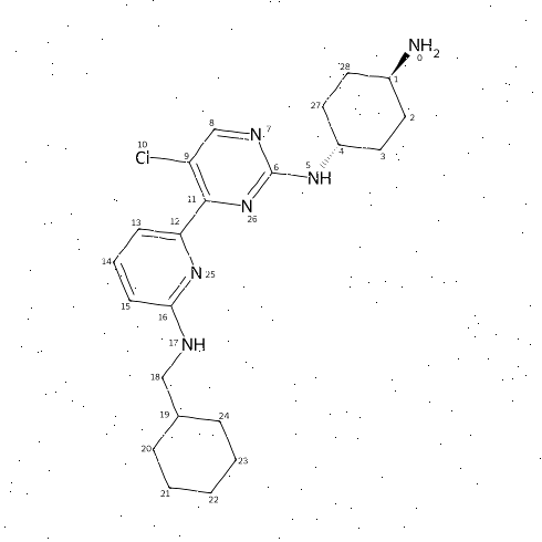 N[C@H]1CC[C@H](Nc2ncc(Cl)c(-c3cccc(NCC4CCCCC4)n3)n2)CC1